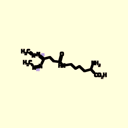 C=N/N=C(CCC(=O)NCCCCC(N)C(=O)O)\N=N/C